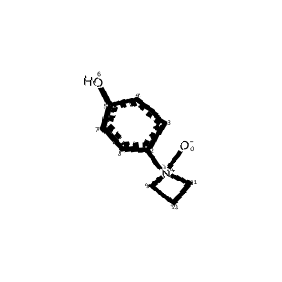 [O-][N+]1(c2ccc(O)cc2)CCC1